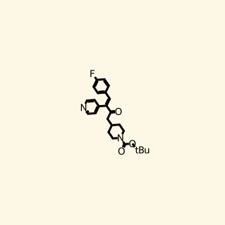 CC(C)(C)OC(=O)N1CCC(CC(=O)C(=Cc2ccc(F)cc2)c2ccncc2)CC1